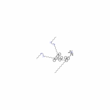 C#C/N=C\N(C)CCCOC(=O)OC(CCCCCCCCCCCC)CCC(=O)OC(COC(=O)CCCCCCC/C=C\C/C=C\CCCCC)COC(=O)CCCCCCC/C=C\C/C=C\CCCCC